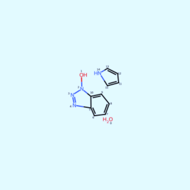 O.On1nnc2ccccc21.c1cc[nH]c1